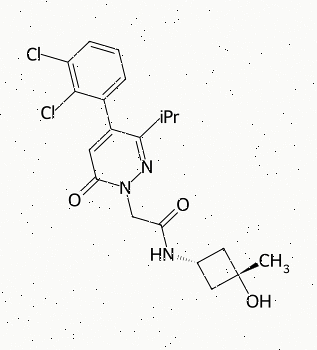 CC(C)c1nn(CC(=O)N[C@H]2C[C@@](C)(O)C2)c(=O)cc1-c1cccc(Cl)c1Cl